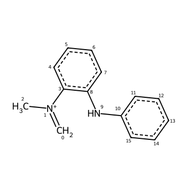 C=[N+](C)c1ccccc1Nc1ccccc1